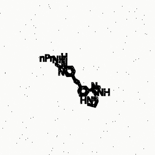 CCCNCc1nc2cc(C#Cc3cccc(-c4nc[nH]c4[C@@H]4CCCN4)c3)ccc2[nH]1